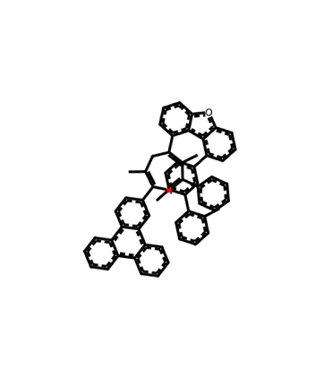 CC1=C(c2ccc3c4ccccc4c4ccccc4c3c2)N=C(c2ccccc2)C(C)=C(c2cccc3oc4cccc(-c5ccc(C)c(-c6ccccc6C)c5)c4c23)C1